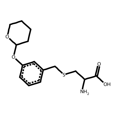 NC(CSCc1cccc(OC2CCCCO2)c1)C(=O)O